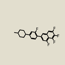 CC1CCC(c2ccc(-c3cc(F)c4c(F)c(F)c(F)cc4c3)c(F)c2)CC1